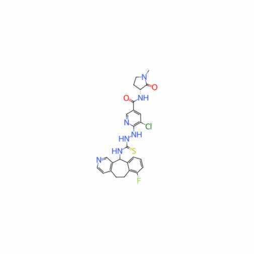 CN1CC[C@@H](NC(=O)c2cnc(NNC(=S)NC3c4cnccc4CCc4c(F)cccc43)c(Cl)c2)C1=O